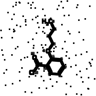 CCCCOc1ccccc1C(=O)Cl